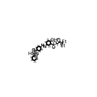 CCN(CC)C(=O)COC(=O)c1cc(N=Nc2ccc(S(=O)(=O)Nc3ccccn3)cc2)ccc1O